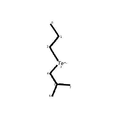 CCC[Te+]CC(C)C